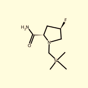 C[Si](C)(C)CN1C[C@H](F)C[C@H]1C(N)=O